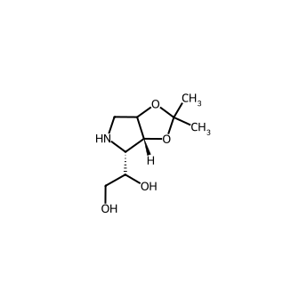 CC1(C)OC2CN[C@@H](C(O)CO)[C@H]2O1